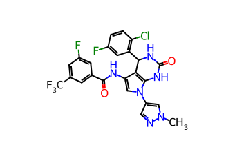 Cn1cc(-n2cc(NC(=O)c3cc(F)cc(C(F)(F)F)c3)c3c2NC(=O)NC3c2cc(F)ccc2Cl)cn1